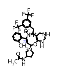 CC(=O)NC1CCN(C2/C=C(/c3ccccc3C)[NH+]([O-])C(Cc3cc(C(F)(F)F)cc(C(F)(F)F)c3)C3=C(NCNC3)O2)C1